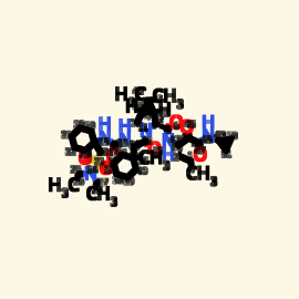 CCC[C@H](NC(=O)[C@@H]1[C@@H]2[C@H](CN1C(=O)[C@@H](NC(=O)NC1(CS(=O)(=O)N(CC)CC)CCCCC1)C1(C)CCCCC1)C2(C)C)C(=O)C(=O)NC1CC1